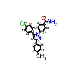 Cc1ccc(-c2cc(-c3ccc(Cl)cc3)n(-c3ccc(C(N)=O)cc3)n2)cc1